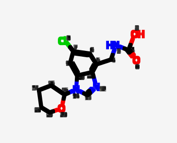 O=C(O)NCc1cc(Cl)cc2c1ncn2C1CCCCO1